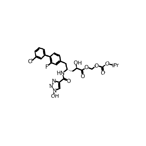 CC(C)OC(=O)OCOC(=O)[C@H](O)C[C@@H](Cc1ccc(-c2cccc(Cl)c2)c(F)c1)NC(=O)c1cn(O)nn1